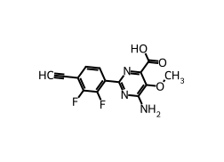 C#Cc1ccc(-c2nc(N)c(OC)c(C(=O)O)n2)c(F)c1F